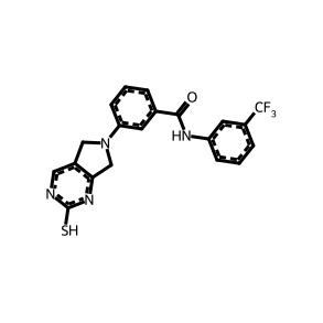 O=C(Nc1cccc(C(F)(F)F)c1)c1cccc(N2Cc3cnc(S)nc3C2)c1